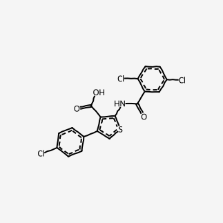 O=C(Nc1scc(-c2ccc(Cl)cc2)c1C(=O)O)c1cc(Cl)ccc1Cl